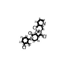 O=C1c2nn(Cc3ncccc3Cl)c(Cl)c2CCN1c1cccc(Cl)c1F